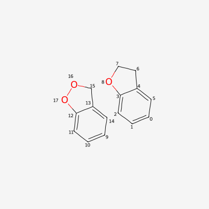 c1ccc2c(c1)CCO2.c1ccc2c(c1)COO2